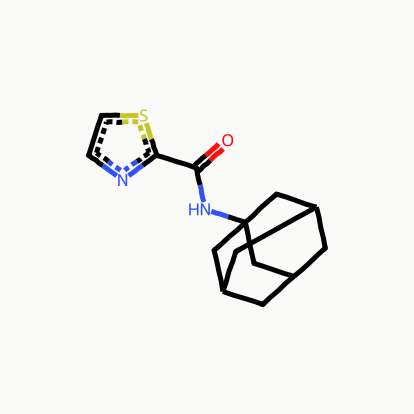 O=C(NC12CC3CC(CC(C3)C1)C2)c1nccs1